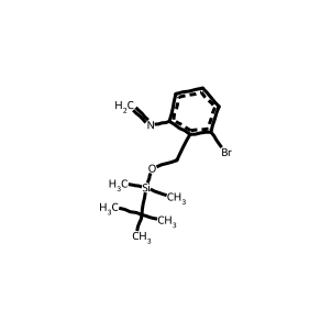 C=Nc1cccc(Br)c1CO[Si](C)(C)C(C)(C)C